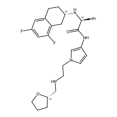 CCC[C@H](N[C@H]1CCc2cc(F)cc(F)c2C1)C(=O)Nc1ccn(CCNC[C@@H]2CCCO2)c1